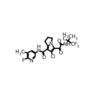 Cc1cc(NC(=O)c2c(Cl)c(C(=O)C(=O)NC(C)(C)C(F)(F)F)n3c2CCC3)cnc1F